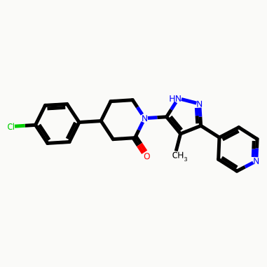 Cc1c(-c2ccncc2)n[nH]c1N1CCC(c2ccc(Cl)cc2)CC1=O